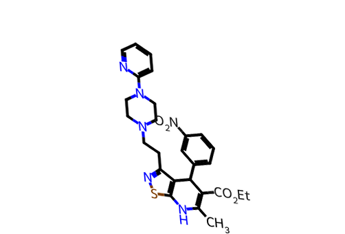 CCOC(=O)C1=C(C)Nc2snc(CCN3CCN(c4ccccn4)CC3)c2C1c1cccc([N+](=O)[O-])c1